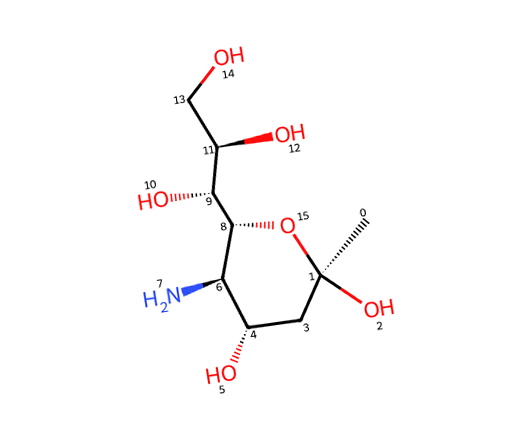 C[C@]1(O)C[C@H](O)[C@@H](N)[C@H]([C@H](O)[C@H](O)CO)O1